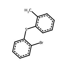 [CH2]c1ccccc1Sc1ccccc1Br